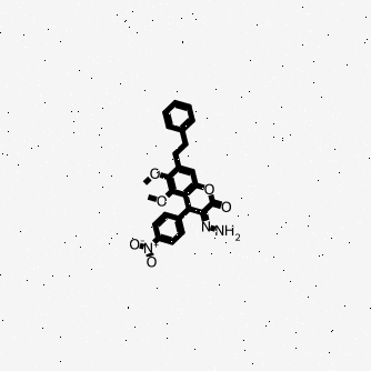 COc1c(CCc2ccccc2)cc2c(c1OC)C(c1ccc([N+](=O)[O-])cc1)C(=NN)C(=O)O2